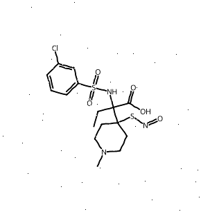 CCC(NS(=O)(=O)c1cccc(Cl)c1)(C(=O)O)C1(SN=O)CCN(C)CC1